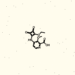 CCOc1c(Nc2ccnc(C(=O)O)c2OC)c(=O)c1=O